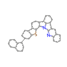 c1ccc2nc3c(cc2c1)c1cccc2c4ccc5c6ccc(-c7cccc8ccccc78)cc6sc5c4n3c12